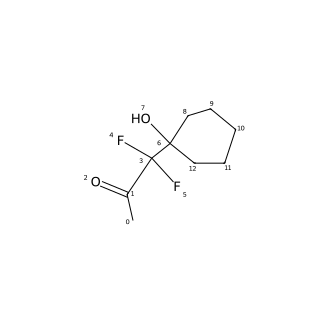 CC(=O)C(F)(F)C1(O)CCCCC1